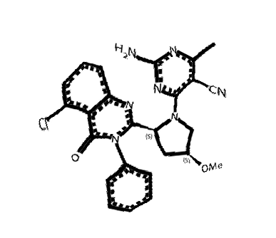 CO[C@H]1C[C@@H](c2nc3cccc(Cl)c3c(=O)n2-c2ccccc2)N(c2nc(N)nc(C)c2C#N)C1